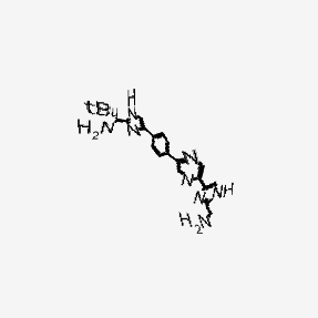 CC(C)(C)[C@H](N)c1nc(-c2ccc(-c3cnc(-c4c[nH]c(CN)n4)cn3)cc2)c[nH]1